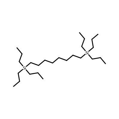 CCC[Si](CCC)(CCC)CCCCCCCC[Si](CCC)(CCC)CCC